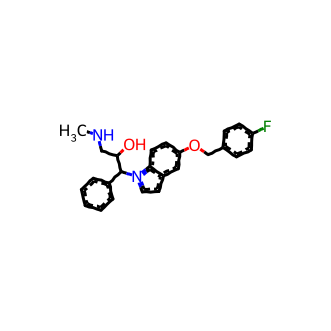 CNCC(O)C(c1ccccc1)n1ccc2cc(OCc3ccc(F)cc3)ccc21